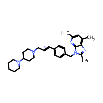 CCCc1nc2c(C)cc(C)nc2n1Cc1ccc(/C=C/CN2CCC(N3CCCCC3)CC2)cc1